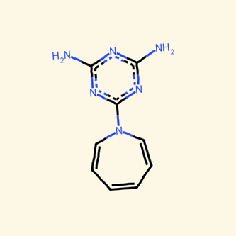 Nc1nc(N)nc(N2C=CC=CC=C2)n1